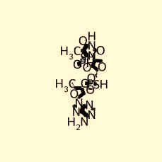 Cc1cn(C2CO[C@H](COP(=O)(S)OC3C[C@H](n4cnc5c(N)ncnc54)O[C@@H]3C)C2O[PH](=O)S)c(=O)[nH]c1=O